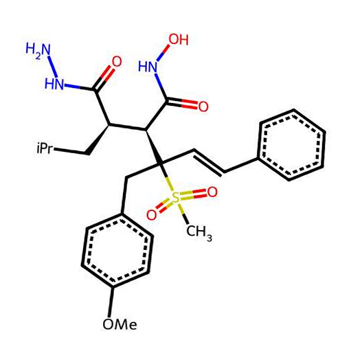 COc1ccc(CC(/C=C/c2ccccc2)([C@H](C(=O)NO)[C@@H](CC(C)C)C(=O)NN)S(C)(=O)=O)cc1